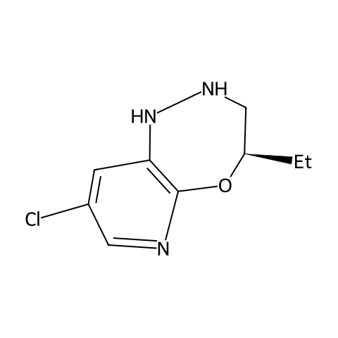 CC[C@@H]1CNNc2cc(Cl)cnc2O1